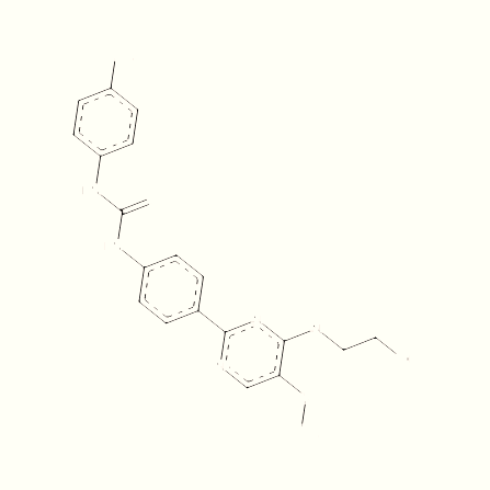 CSc1cnc(-c2ccc(NC(=O)Nc3ccc(C)cc3)cc2)nc1NCCO